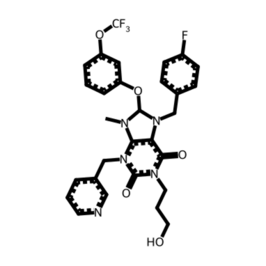 CN1c2c(c(=O)n(CCCO)c(=O)n2Cc2cccnc2)N(Cc2ccc(F)cc2)C1Oc1cccc(OC(F)(F)F)c1